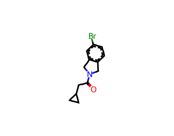 O=C(CC1CC1)N1Cc2ccc(Br)cc2C1